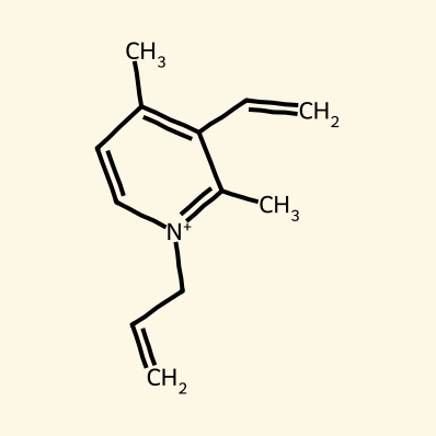 C=CC[n+]1ccc(C)c(C=C)c1C